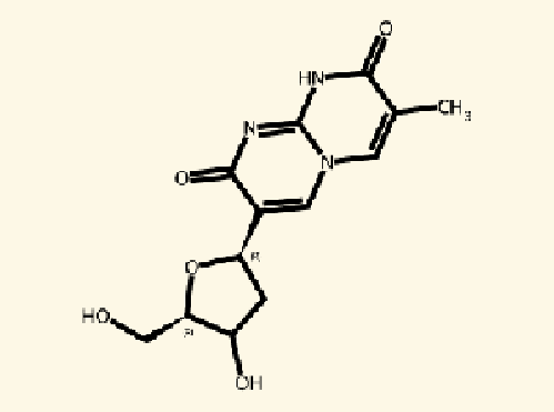 Cc1cn2cc([C@H]3CC(O)[C@@H](CO)O3)c(=O)nc2[nH]c1=O